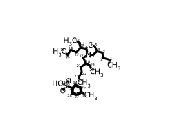 CCCCC(CC)CN(CC(CC)CCCC)CC(CC)CCCC.Cc1ccc(S(=O)(=O)O)cc1